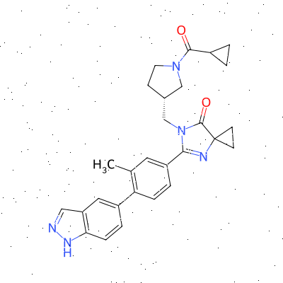 Cc1cc(C2=NC3(CC3)C(=O)N2C[C@@H]2CCN(C(=O)C3CC3)C2)ccc1-c1ccc2[nH]ncc2c1